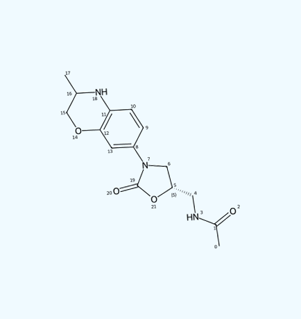 CC(=O)NC[C@H]1CN(c2ccc3c(c2)OCC(C)N3)C(=O)O1